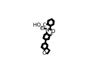 O=C(O)c1ccccc1C(=O)N(Cl)c1ccc(-c2ccc3c(c2)CCO3)cc1F